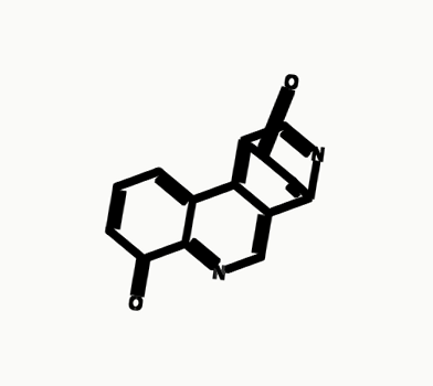 O=C1C=CC=c2c1ncc1c3ncc(c21)C(=O)C=3